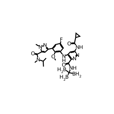 BC(B)(B)NC(=O)c1nnc(NC(=O)C2CC2)cc1Nc1cc(F)cc(-c2cc(C(=O)N(C)C(C)C)n(C)n2)c1OC